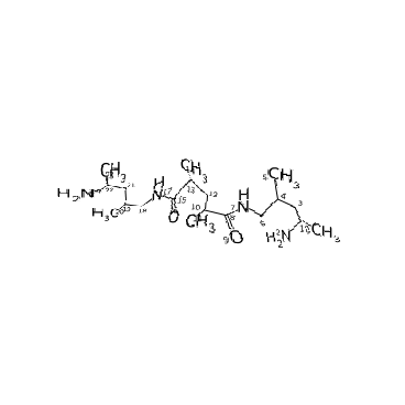 CC(N)CC(C)CNC(=O)C(C)C[C@@H](C)C(=O)NCC(C)C[C@H](C)N